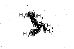 COC[C@H](C)Oc1cc(Oc2ccc(S(C)(=O)=O)cc2)cc(C(=O)Nc2cnc(CP(=O)(OC(C)C)OC(C)C)cn2)c1